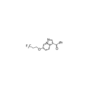 CC(C)C(=O)c1cnn2cc(OCCC(F)(F)F)ccc12